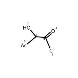 CC(=O)C(O)C(=O)Cl